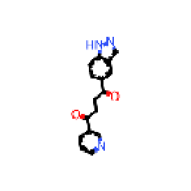 O=C(CCC(=O)c1ccc2[nH]ncc2c1)c1cccnc1